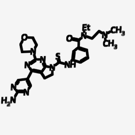 CCN(CCN(C)C)C(=O)c1cccc(NC(=S)N2CCc3c(-c4cnc(N)nc4)nc(N4CCOCC4)nc32)c1